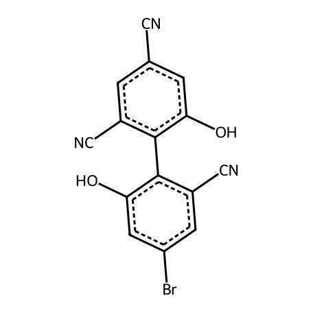 N#Cc1cc(O)c(-c2c(O)cc(Br)cc2C#N)c(C#N)c1